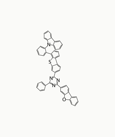 c1ccc(-c2nc(-c3ccc4c(c3)oc3ccccc34)nc(-c3ccc4c(c3)sc3c(-c5ccccc5-n5c6ccccc6c6ccccc65)cccc34)n2)cc1